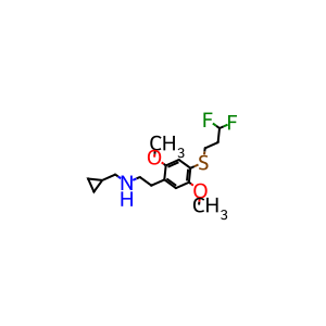 COc1cc(SCCC(F)F)c(OC)cc1CCNCC1CC1